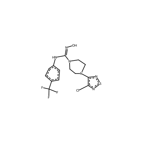 O/N=C(/Nc1ccc(C(F)(F)F)cc1)N1CCN(c2nsnc2Cl)CC1